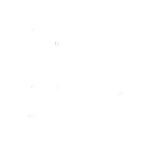 COc1ccc(-c2cnc3c(OC)ccc(OC)c3c2OCCO)cc1